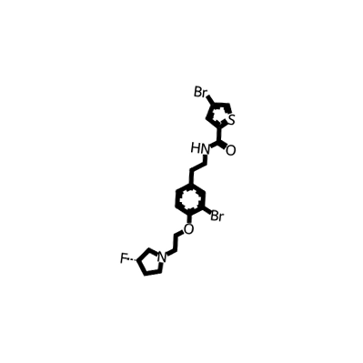 O=C(NCCc1ccc(OCCN2CC[C@H](F)C2)c(Br)c1)c1cc(Br)cs1